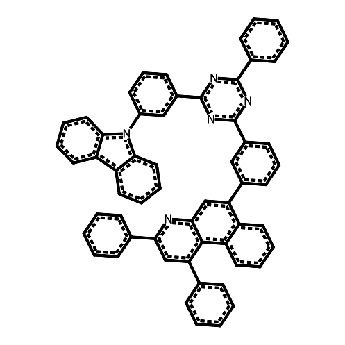 c1ccc(-c2cc(-c3ccccc3)c3c(cc(-c4cccc(-c5nc(-c6ccccc6)nc(-c6cccc(-n7c8ccccc8c8ccccc87)c6)n5)c4)c4ccccc43)n2)cc1